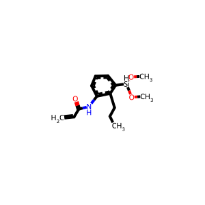 C=CC(=O)Nc1cccc([SiH](OC)OC)c1CCC